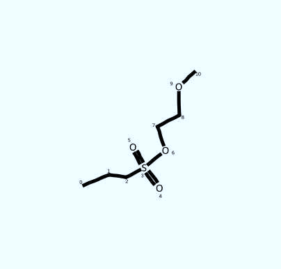 CCCS(=O)(=O)OCCOC